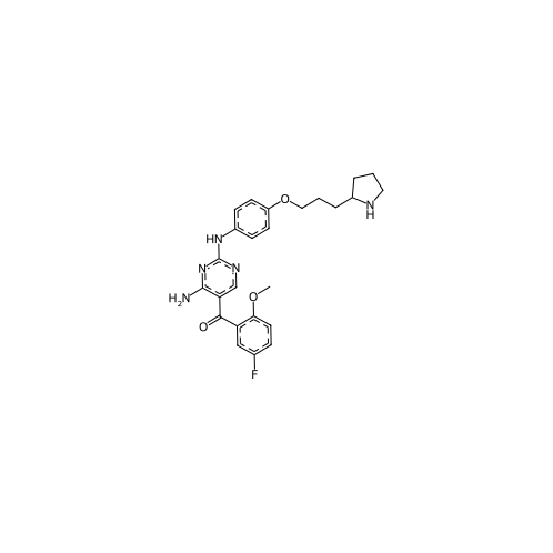 COc1ccc(F)cc1C(=O)c1cnc(Nc2ccc(OCCCC3CCCN3)cc2)nc1N